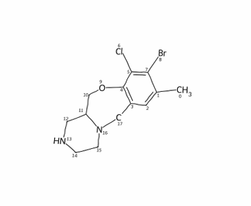 Cc1cc2c(c(Cl)c1Br)OCC1CNCCN1C2